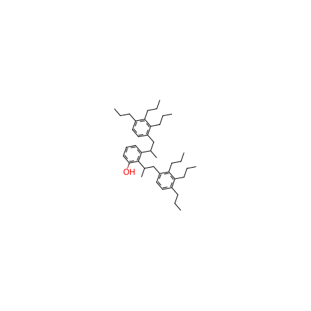 CCCc1ccc(CC(C)c2cccc(O)c2C(C)Cc2ccc(CCC)c(CCC)c2CCC)c(CCC)c1CCC